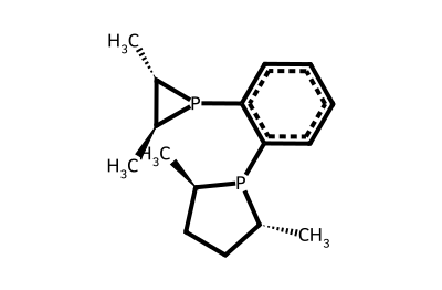 C[C@@H]1CC[C@@H](C)P1c1ccccc1P1[C@@H](C)[C@@H]1C